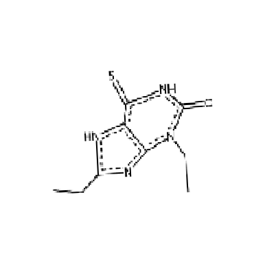 CCc1nc2c([nH]1)c(=S)[nH]c(=O)n2CC